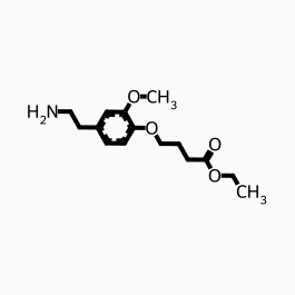 CCOC(=O)CCCOc1ccc(CCN)cc1OC